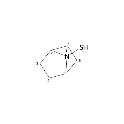 SN1C2CCC1CC2